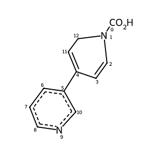 O=C(O)N1C=CC(c2cccnc2)=CC1